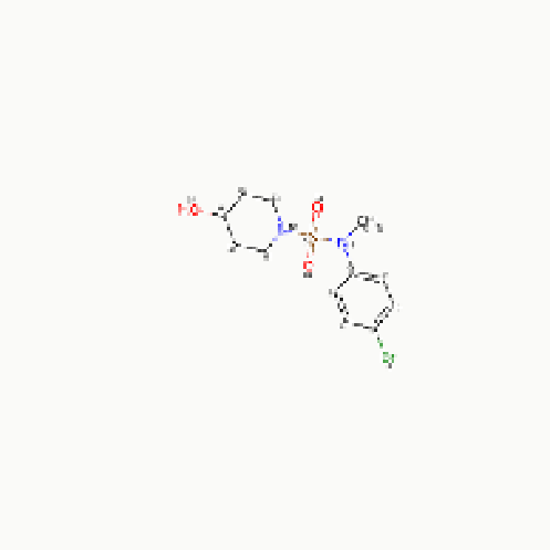 CN(c1ccc(Br)cc1)S(=O)(=O)N1CCC(O)CC1